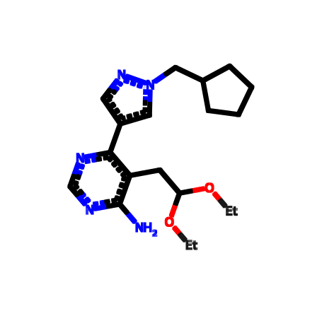 CCOC(Cc1c(N)ncnc1-c1cnn(CC2CCCC2)c1)OCC